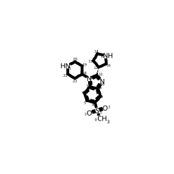 CS(=O)(=O)c1ccc2c(c1)nc([C@@H]1CCNC1)n2C1CCNCC1